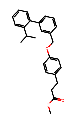 COC(=O)CCc1ccc(OCc2cccc(-c3ccccc3C(C)C)c2)cc1